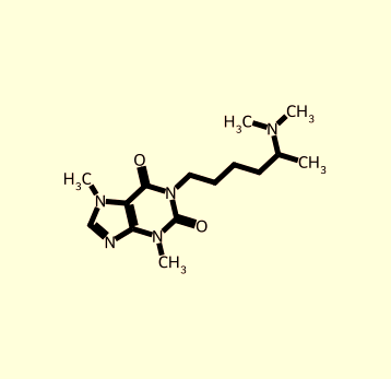 CC(CCCCn1c(=O)c2c(ncn2C)n(C)c1=O)N(C)C